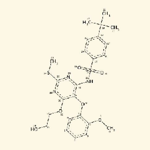 COc1ccccc1Oc1c(NS(=O)(=O)c2ccc(C(C)(C)C)cc2)nc(SC)nc1OCCO